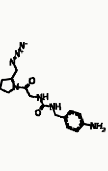 [N-]=[N+]=NCC1CCCN1C(=O)CNC(=O)NCc1ccc(N)cc1